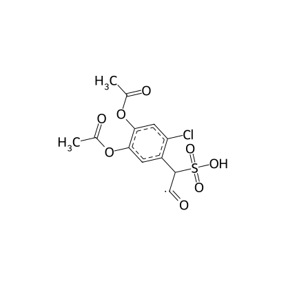 CC(=O)Oc1cc(Cl)c(C([C]=O)S(=O)(=O)O)cc1OC(C)=O